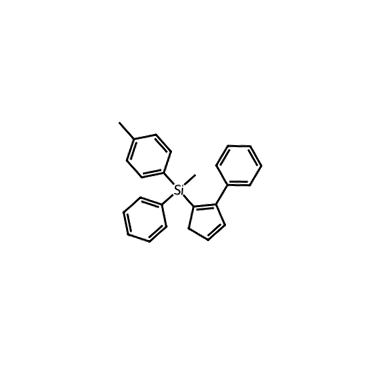 Cc1ccc([Si](C)(C2=C(c3ccccc3)C=CC2)c2ccccc2)cc1